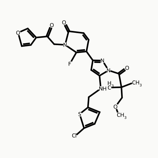 COCC(C)(C)C(=O)n1nc(-c2ccc(=O)n(CC(=O)c3ccoc3)c2F)cc1NCc1ccc(Cl)s1